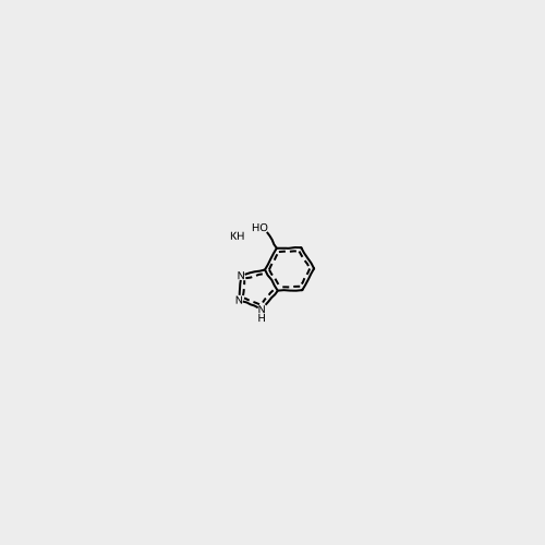 Oc1cccc2[nH]nnc12.[KH]